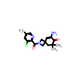 CC1(C)CC2(C=C(N)C1=O)CN(C(=O)c1ncc(C(F)(F)F)cc1Cl)C2